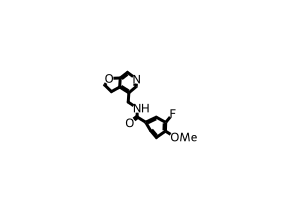 COc1ccc(C(=O)NCc2cncc3c2CCO3)cc1F